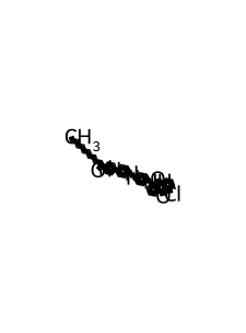 CCCCCCCCCCCC(=O)N1CCN(c2ccc(N=Nc3ccc(Nc4cccc5c4C(=O)c4cccc(Cl)c4C5=O)cc3)cc2)CC1